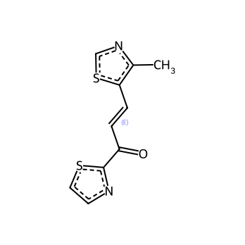 Cc1ncsc1/C=C/C(=O)c1nccs1